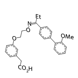 CCC(=NOCCOc1cccc(CC(=O)O)c1)c1ccc(-c2ccccc2OC)cc1